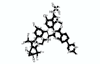 Cc1ncc(-c2ccc3c(=O)n(-c4ccc(Cl)c5c(NS(C)(=O)=O)nn(C)c45)c([C@H](Cc4cc(F)cc(F)c4)NC(=O)Cn4nc(C(F)F)c5c4C(F)(F)[C@@H]4C[C@H]54)nc3c2)cn1